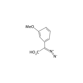 COc1cccc(C(=[N+]=[N-])C(=O)O)c1